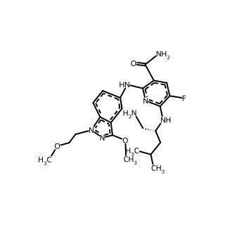 COCCn1nc(OC)c2cc(Nc3nc(N[C@@H](CN)CC(C)C)c(F)cc3C(N)=O)ccc21